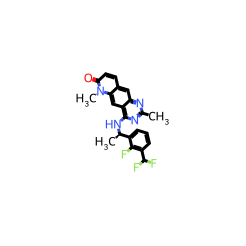 Cc1nc(N[C@H](C)c2cccc(C(F)F)c2F)c2cc3c(ccc(=O)n3C)cc2n1